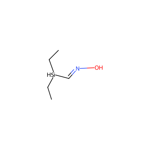 CC[SiH](C=NO)CC